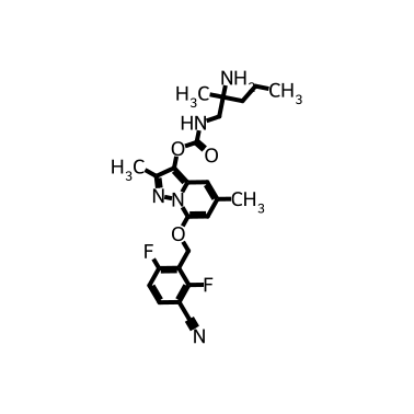 CCCC(C)(N)CNC(=O)Oc1c(C)nn2c(OCc3c(F)ccc(C#N)c3F)cc(C)cc12